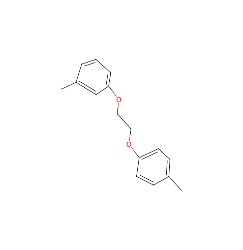 Cc1ccc(OCCOc2cccc(C)c2)cc1